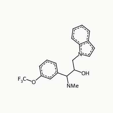 CNC(c1cccc(OC(F)(F)F)c1)C(O)Cn1ccc2ccccc21